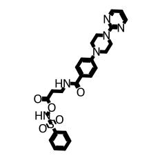 O=C(CCNC(=O)c1ccc(N2CCN(c3ncccn3)CC2)cc1)ONS(=O)(=O)c1ccccc1